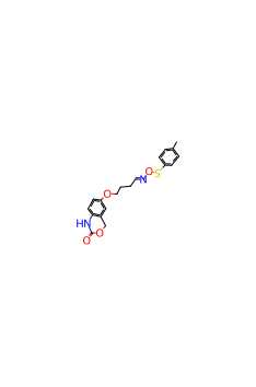 Cc1ccc(SON=CCCCOc2ccc3c(c2)COC(=O)N3)cc1